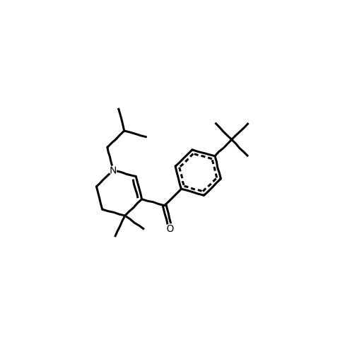 CC(C)CN1C=C(C(=O)c2ccc(C(C)(C)C)cc2)C(C)(C)CC1